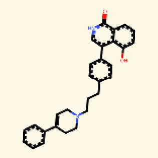 O=c1[nH]cc(-c2ccc(CCCN3CC=C(c4ccccc4)CC3)cc2)c2c(O)cccc12